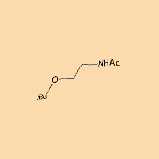 CCC(C)OCCNC(C)=O